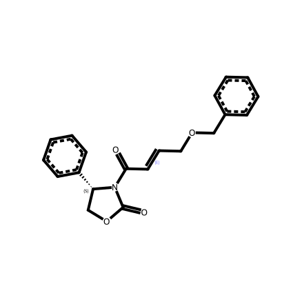 O=C(/C=C/COCc1ccccc1)N1C(=O)OC[C@@H]1c1ccccc1